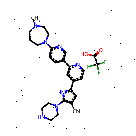 CN1CCCN(c2ccc(-c3cc(-c4cc(C#N)c(N5CCNCC5)[nH]4)ccn3)cn2)CC1.O=C(O)C(F)(F)F